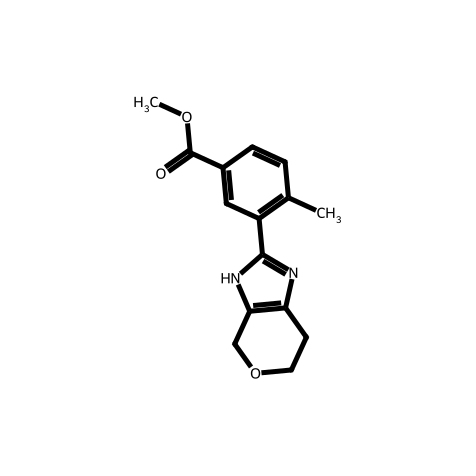 COC(=O)c1ccc(C)c(-c2nc3c([nH]2)COCC3)c1